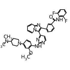 COc1cc(N2CCC(N(C)C)CC2)ccc1Nc1nccc(-c2c(-c3cccc(C(=O)Nc4c(F)cccc4F)c3)nc3ccccn23)n1